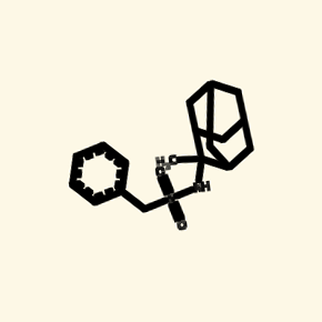 CC1(NS(=O)(=O)Cc2ccccc2)C2CC3CC(C2)CC1C3